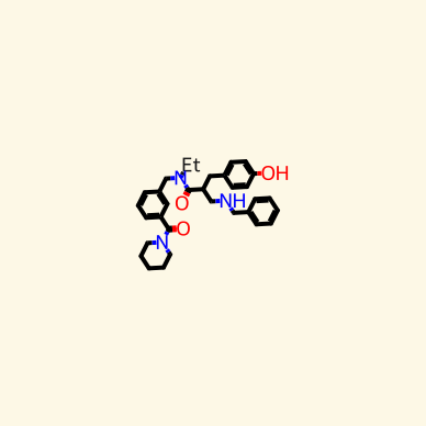 CCN(Cc1cccc(C(=O)N2CCCCC2)c1)C(=O)C(CNCc1ccccc1)Cc1ccc(O)cc1